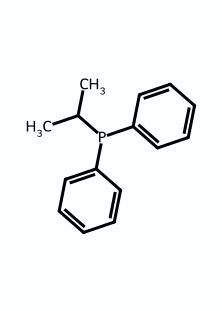 CC(C)P(c1ccccc1)c1ccccc1